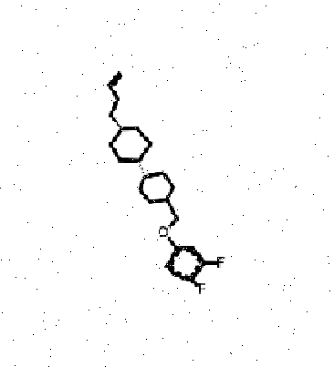 C=CCC[C@H]1CC[C@H](C2CCC(COc3ccc(F)c(F)c3)CC2)CC1